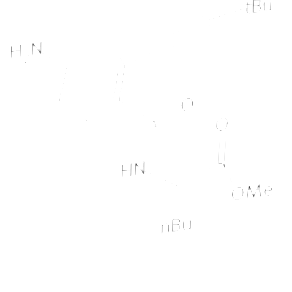 CCCC[C@H](NC(=O)c1ccc(N)cc1C#CC(C)(C)C)C(=O)OC